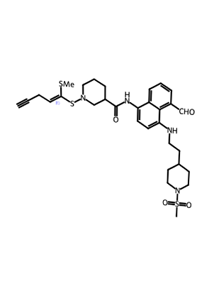 C#CC/C=C(\SC)SN1CCCC(C(=O)Nc2ccc(NCCC3CCN(S(C)(=O)=O)CC3)c3c(C=O)cccc23)C1